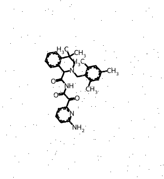 Cc1cc(C)c(CN2CC(C)(C)c3ccccc3C2C(=O)NC(=O)C(=O)c2cccc(N)n2)c(C)c1